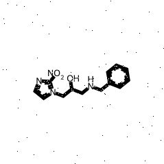 O=[N+]([O-])c1nccn1CC(O)CNCc1ccccc1